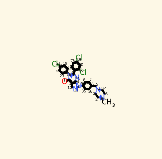 CN1CCN(Cc2ccc(-n3ncc4c(=O)n(-c5ccc(Cl)cc5)c(-c5ccc(Cl)cc5Cl)nc43)cc2)CC1